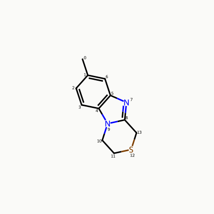 Cc1ccc2c(c1)nc1n2CCSC1